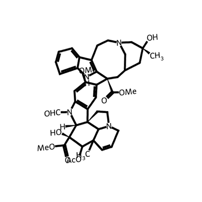 COC(=O)[C@]1(c2cc3c(cc2OC)N(C=O)[C@H]2[C@@](O)(C(=O)OC)C(OC(C)=O)C4(C)C=CCN5CC[C@]32C54)CC2CN(CCc3c1[nH]c1ccccc31)C[C@](C)(O)C2